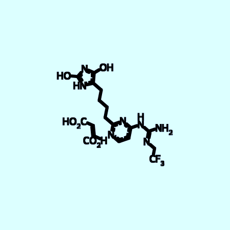 NC(=NCC(F)(F)F)Nc1ccnc(CCCCc2[nH]c(O)nc2O)n1.O=C(O)C=CC(=O)O